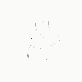 Nc1ncnc2cccc(-c3ccccc3Cl)c12